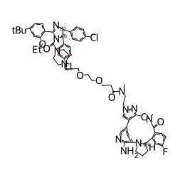 CCOc1cc(C(C)(C)C)ccc1C1=N[C@@](C)(c2ccc(Cl)cc2)[C@@](C)(c2ccc(Cl)cc2)N1C(=O)N1CCN(CCOCCOCCC(=O)N(C)CCn2cc3c(n2)CN(C)C(=O)c2ccc(F)cc2[C@H]2CCCN2c2cc-3cnc2N)CC1